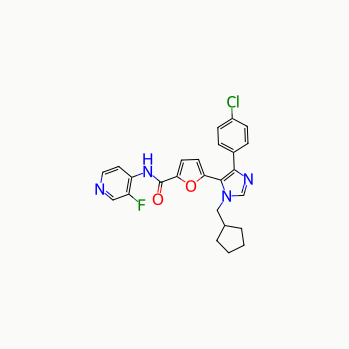 O=C(Nc1ccncc1F)c1ccc(-c2c(-c3ccc(Cl)cc3)ncn2CC2CCCC2)o1